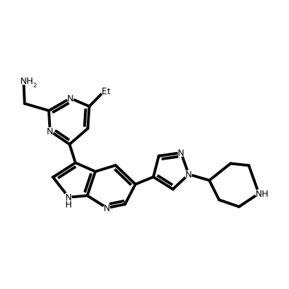 CCc1cc(-c2c[nH]c3ncc(-c4cnn(C5CCNCC5)c4)cc23)nc(CN)n1